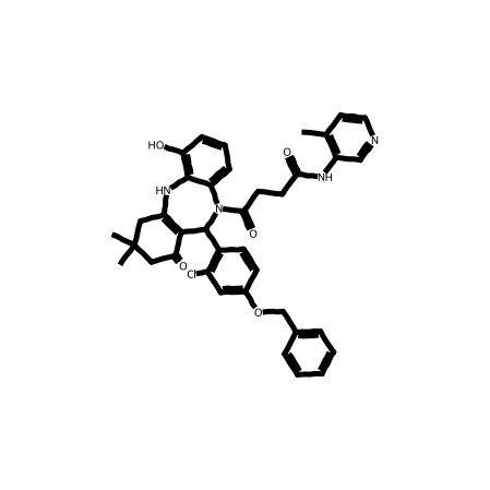 Cc1ccncc1NC(=O)CCC(=O)N1c2cccc(O)c2NC2=C(C(=O)CC(C)(C)C2)C1c1ccc(OCc2ccccc2)cc1Cl